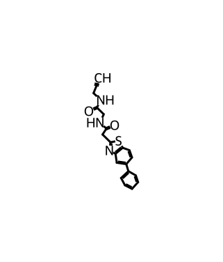 C#CCNC(=O)CNC(=O)Cc1nc2cc(-c3ccccc3)ccc2s1